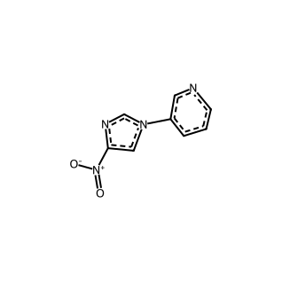 O=[N+]([O-])c1cn(-c2cccnc2)cn1